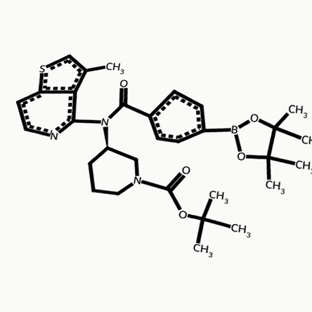 Cc1csc2ccnc(N(C(=O)c3ccc(B4OC(C)(C)C(C)(C)O4)cc3)[C@@H]3CCCN(C(=O)OC(C)(C)C)C3)c12